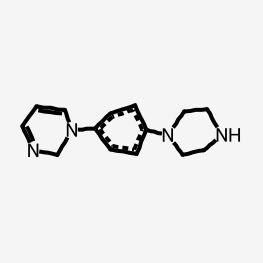 C1=CN(c2ccc(N3CCNCC3)cc2)CN=C1